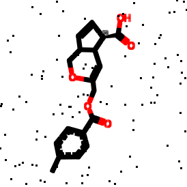 Cc1ccc(C(=O)OCC2=CC3C(C=C[C@H]3C(=O)O)CO2)cc1